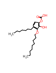 CCCCCCCCCOc1c(CCCCCCC)ccc(OC(=O)O)c1O